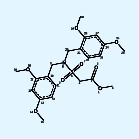 COC(=O)CS(=O)(=O)N(Cc1ccc(OC)cc1OC)Cc1ccc(OC)cc1OC